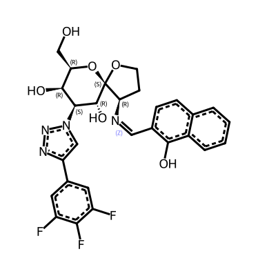 OC[C@H]1O[C@]2(OCC[C@H]2/N=C\c2ccc3ccccc3c2O)[C@H](O)[C@@H](n2cc(-c3cc(F)c(F)c(F)c3)nn2)[C@H]1O